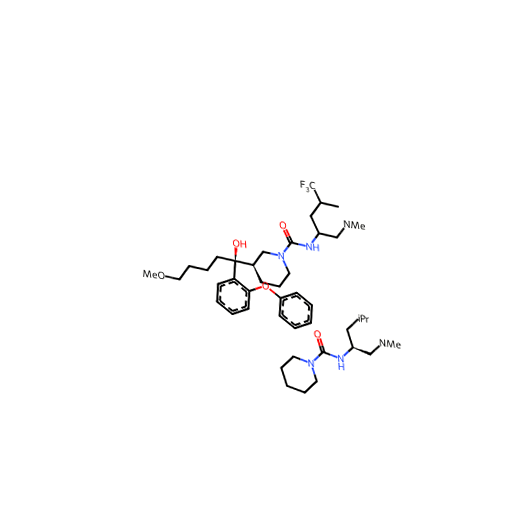 CNCC(CC(C)C(F)(F)F)NC(=O)N1CCC[C@@H]([C@@](O)(CCCCOC)c2ccccc2Oc2ccccc2)C1.CNC[C@H](CC(C)C)NC(=O)N1CCCCC1